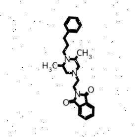 CC1CN(CCN2C(=O)c3ccccc3C2=O)CC(C)N1CCCc1ccccc1